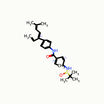 C=C/C(=C\C=C(C)C)c1ccc(NC(=O)C(/C=C\CN[S+]([O-])C(C)(C)C)=C/C)cc1